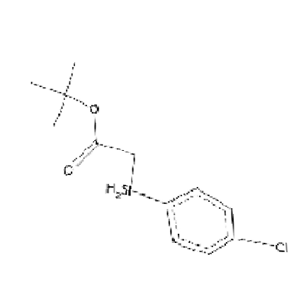 CC(C)(C)OC(=O)C[SiH2]c1ccc(Cl)cc1